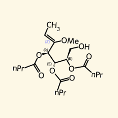 C/C=C(\OC)[C@H](OC(=O)CCC)[C@@H](OC(=O)CCC)[C@@H](CO)OC(=O)CCC